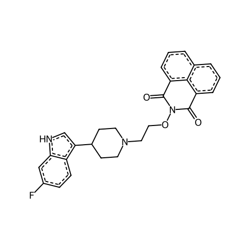 O=C1c2cccc3cccc(c23)C(=O)N1OCCN1CCC(c2c[nH]c3cc(F)ccc23)CC1